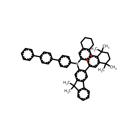 CC1(C)CCC(C)(C)c2cc(-c3cc4c(cc3N(c3ccc(-c5ccc(-c6ccccc6)cc5)cc3)c3ccc5c(c3)CCCC5)C(C)(C)c3ccccc3-4)ccc21